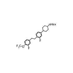 CCCCCCC1CCC(c2ccc(CCc3ccc(OC(F)(F)F)c(F)c3)c(F)c2)CC1